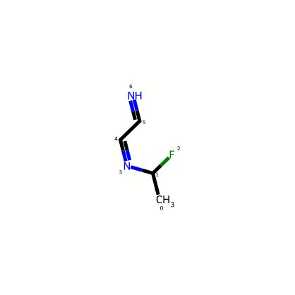 CC(F)/N=C\C=N